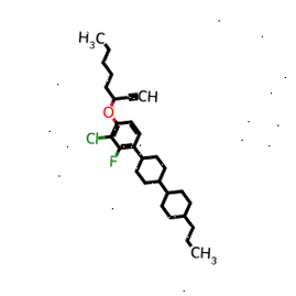 C#CC(CCCCC)Oc1ccc(C2CCC(C3CCC(CCC)CC3)CC2)c(F)c1Cl